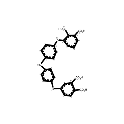 O=C(O)c1ccc(Sc2ccc(Oc3ccc(Sc4cccc(C(=O)O)c4C(=O)O)cc3)cc2)cc1C(=O)O